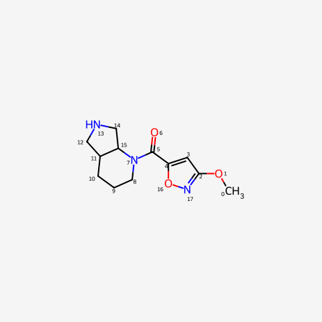 COc1cc(C(=O)N2CCCC3CNCC32)on1